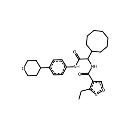 CCc1nocc1C(=O)NC(C(=O)Nc1ccc(C2CCOCC2)cc1)C1CCCCCCC1